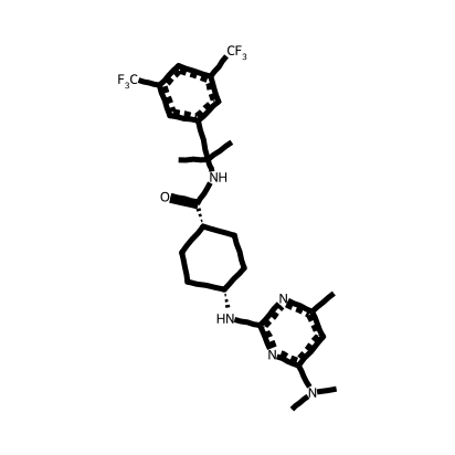 Cc1cc(N(C)C)nc(N[C@H]2CC[C@@H](C(=O)NC(C)(C)c3cc(C(F)(F)F)cc(C(F)(F)F)c3)CC2)n1